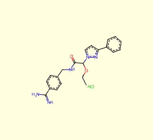 CCOC(C(=O)NCc1ccc(C(=N)N)cc1)n1ccc(-c2ccccc2)n1.Cl